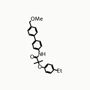 CCc1ccc(OC(C)(C)C(=O)Nc2ccc(-c3ccc(COC)cc3)cc2)cc1